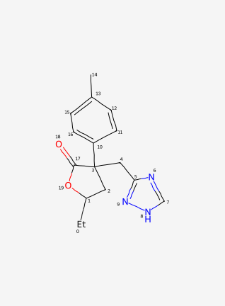 CCC1CC(Cc2nc[nH]n2)(c2ccc(C)cc2)C(=O)O1